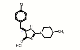 CN1CCN(C2=NC(=O)/C(=C/c3ccc(Cl)cc3)N2)CC1.Cl